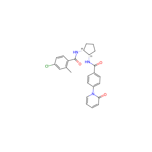 Cc1cc(Cl)ccc1C(=O)N[C@@H]1CCC[C@@H]1NC(=O)c1ccc(-n2ccccc2=O)cc1